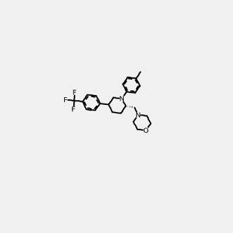 Cc1ccc(N2CC(c3ccc(C(F)(F)F)cc3)CC[C@H]2CN2CCOCC2)cc1